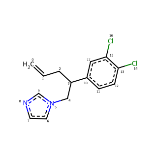 C=CCC(Cn1ccnc1)c1ccc(Cl)c(Cl)c1